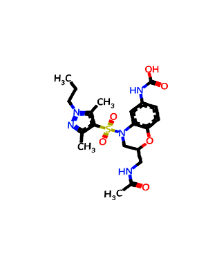 CCCn1nc(C)c(S(=O)(=O)N2CC(CNC(C)=O)Oc3ccc(NC(=O)O)cc32)c1C